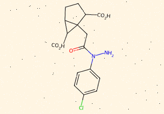 NN(C(=O)CC12C(C(=O)O)CCC1C2C(=O)O)c1ccc(Cl)cc1